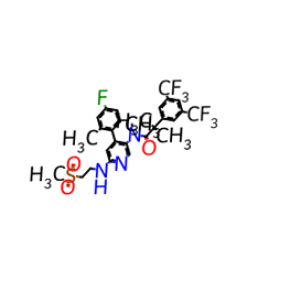 Cc1cc(F)ccc1-c1cc(NCCS(C)(=O)=O)ncc1N(C)C(=O)C(C)(C)c1cc(C(F)(F)F)cc(C(F)(F)F)c1